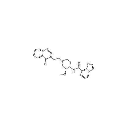 COC1CN(CCn2ncc3ccccc3c2=O)CCC1NC(=O)c1cccc2ccoc12